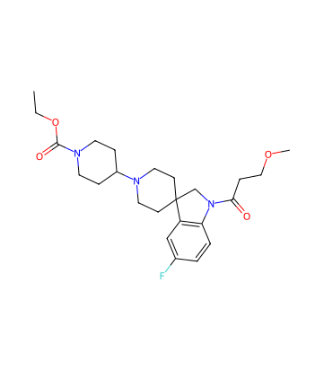 CCOC(=O)N1CCC(N2CCC3(CC2)CN(C(=O)CCOC)c2ccc(F)cc23)CC1